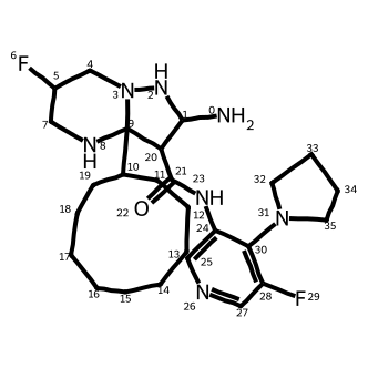 NC1NN2CC(F)CNC2(C2CCCCCCCCC2)C1C(=O)Nc1cncc(F)c1N1CCCC1